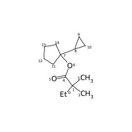 CCC(C)(C)C(=O)OC1(C2CC2)CCCC1